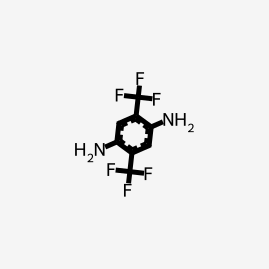 Nc1cc(C(F)(F)F)c(N)cc1C(F)(F)F